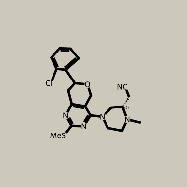 CSc1nc2c(c(N3CCN(C)[C@@H](CC#N)C3)n1)COC(c1ccccc1Cl)C2